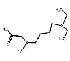 CCN(CC)CCCCN(C)CC(O)=S